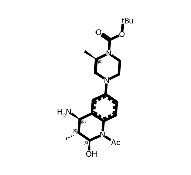 CC(=O)N1c2ccc(N3CCN(C(=O)OC(C)(C)C)[C@H](C)C3)cc2[C@H](N)[C@@H](C)[C@@H]1O